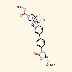 CC(=O)NC[C@H]1CN(c2ccc(-c3ccc([C@@]4(C#N)[C@@H]5CN(C(=O)OC(C)(C)C)C[C@@H]54)nc3)cc2)C(=O)O1